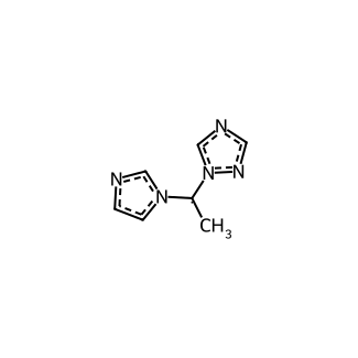 C[C](n1ccnc1)n1cncn1